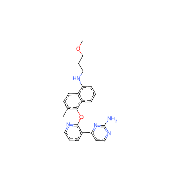 COCCCNc1cccc2c(Oc3ncccc3-c3ccnc(N)n3)c(C)ccc12